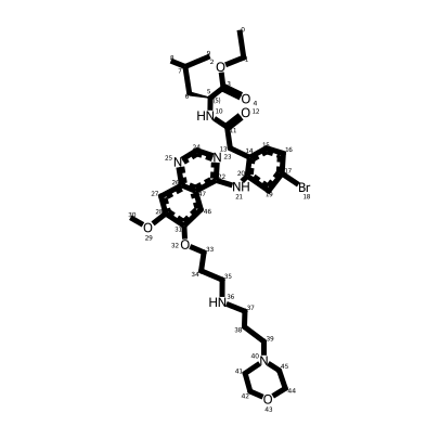 CCOC(=O)[C@H](CC(C)C)NC(=O)Cc1ccc(Br)cc1Nc1ncnc2cc(OC)c(OCCCNCCCN3CCOCC3)cc12